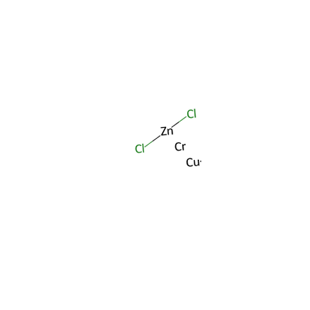 [Cl][Zn][Cl].[Cr].[Cu]